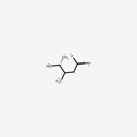 CC(CC(=N)F)[C@@H](C)O